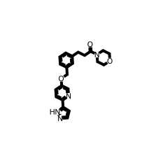 O=C(CCc1cccc(COc2ccc(-c3ccn[nH]3)nc2)c1)N1CCOCC1